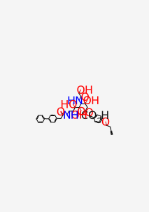 C#CCCOc1ccc(CO[C@]2(C(=O)O)C[C@H](O)[C@@H](NC(=O)CO)[C@H]([C@H](O)[C@H](O)CNC(=O)Cc3ccc(-c4ccccc4)cc3)O2)cc1